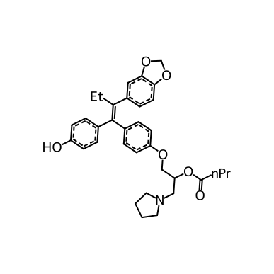 CCCC(=O)OC(COc1ccc(/C(=C(/CC)c2ccc3c(c2)OCO3)c2ccc(O)cc2)cc1)CN1CCCC1